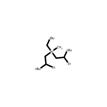 CCCCC(CC)C[N+](C)(CC(CC)CCCC)CC(C)(C)C